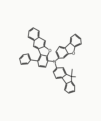 CC1(C)c2ccccc2-c2ccc(N(c3ccc4c(c3)oc3ccccc34)c3ccc(-c4ccccc4)c4c3oc3cc5ccccc5cc34)cc21